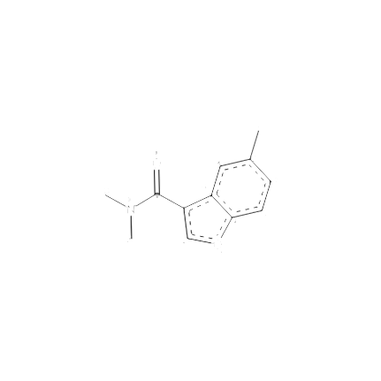 [CH2]c1ccc2occ(C(=O)N(C)C)c2c1